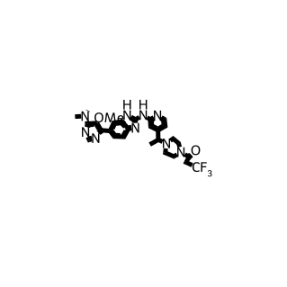 COc1c(-c2ccc3nc(Nc4cc(C(C)N5CCN(C(=O)CC(F)(F)F)CC5)ccn4)[nH]c3c2)ncnc1N(C)C